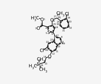 COC(=O)c1sc(-n2cnc3cc(OCC[Si](C)(C)C)c(Cl)cc32)cc1O[C@H](C)c1ccccc1Cl